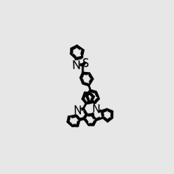 c1ccc(-c2nc3ccccc3c3ccc4c5ccccc5n(-c5ccc(-c6ccc(-c7nc8ccccc8s7)cc6)cc5)c4c23)cc1